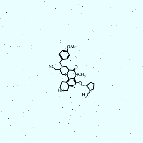 COc1ccc(CN2CC3C(=O)N(C)c4c(OC[C@@H]5CCCN5C)nc5c(c4N3CC2CC#N)CCNC5)cc1